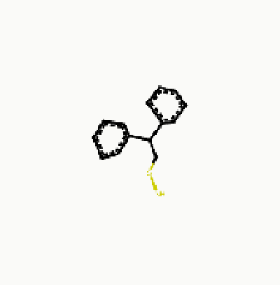 SSCC(c1ccccc1)c1ccccc1